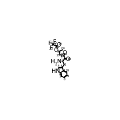 N[C@@H](Cc1c[nH]c2ccccc12)C(=O)N1CC(OC(=O)C(F)(F)F)CO1